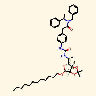 CCCCCCCCCCCCO[C@H]1O[C@H]([C@H](C)NC(=O)Nc2ccc(CC(=O)N(Cc3ccccc3)C(C)c3ccccc3)cc2)[C@@H]2OC(C)(C)O[C@H]12